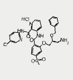 CS(=O)(=O)c1ccc(C(=O)Nc2cccnc2C(=O)Nc2ccc(Cl)cn2)c(OC[C@H](CN)OCc2ccccc2)c1.Cl